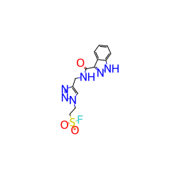 O=C(NCc1cn(CCS(=O)(=O)F)nn1)c1n[nH]c2ccccc12